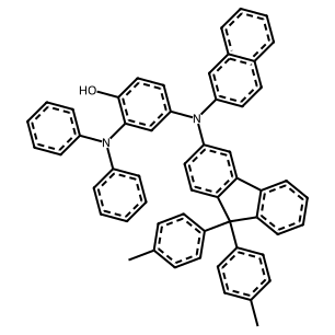 Cc1ccc(C2(c3ccc(C)cc3)c3ccccc3-c3cc(N(c4ccc(O)c(N(c5ccccc5)c5ccccc5)c4)c4ccc5ccccc5c4)ccc32)cc1